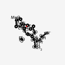 COc1ccccc1-c1nccc(COc2ccccc2C[C@@H](Oc2ncnc3sc(-c4ccc(F)cc4)c(-c4ccc(OCCN5CC[N+](C)(Cc6ccc(NC(=O)[C@H](CCCNC(N)=O)NC(=O)[C@@H](NC(=O)CNC(=O)OCCN=[N+]=[N-])C(C)C)cc6CN(C)C(=O)OCC6c7ccccc7-c7ccccc76)CC5)c(Cl)c4C)c23)C(=O)O)n1.O=C([O-])C(F)(F)F